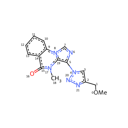 COCc1cn(-c2ncn3c4ccccc4c(=O)n(C)c23)nn1